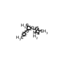 CCc1cnc(N)c2c(COc3cc(C)cc(OCc4ccc(C)cc4)c3)csc12